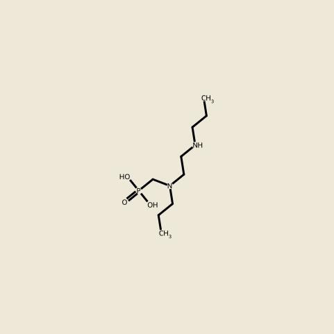 CCCNCCN(CCC)CP(=O)(O)O